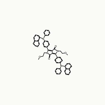 COCCN1C(=O)C2=C(c3ccc(N(c4ccccc4)c4cccc5ccccc45)cc3)N(CCOC)C(=O)C2=C1c1ccc(N(c2ccccc2)c2cccc3ccccc23)cc1